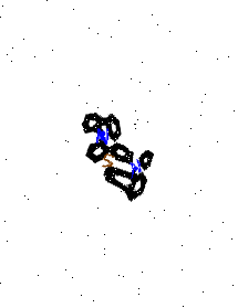 c1ccc(N(c2cccc3ccccc23)c2cccc3c2sc2cccc(-n4c5ccccc5c5ccccc54)c23)cc1